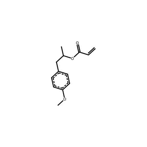 C=CC(=O)O[C](C)Cc1ccc(OC)cc1